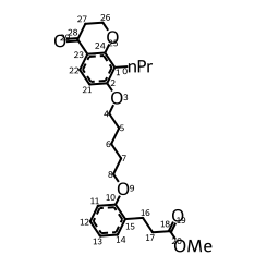 CCCc1c(OCCCCCOc2ccccc2CCC(=O)OC)ccc2c1OCCC2=O